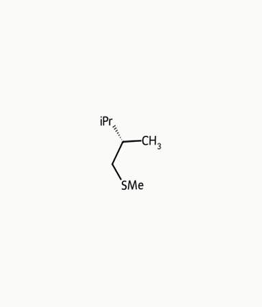 CSC[C@@H](C)C(C)C